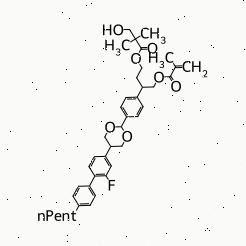 C=C(C)C(=O)OCC(CCOC(=O)C(C)(C)CO)c1ccc(C2OCC(c3ccc(-c4ccc(CCCCC)cc4)c(F)c3)CO2)cc1